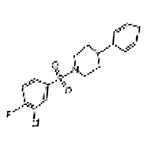 O=S(=O)(c1ccc(F)c(Cl)c1)N1CCC(C2C=CCC=C2)CC1